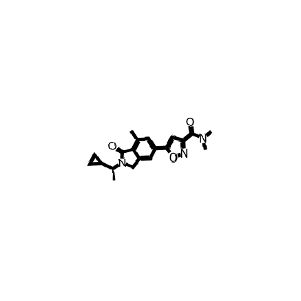 Cc1cc(-c2cc(C(=O)N(C)C)no2)cc2c1C(=O)N([C@@H](C)C1CC1)C2